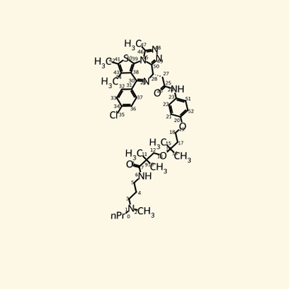 CCCN(C)CCCNC(=O)C(C)(C)COC(C)(C)CCOc1ccc(NC(=O)C[C@@H]2N=C(c3ccc(Cl)cc3)c3c(sc(C)c3C)-n3c(C)nnc32)cc1